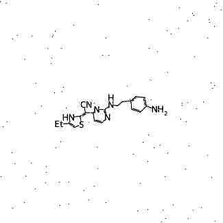 CCC1=CS/C(=C(/C#N)c2ccnc(NCCc3ccc(N)cc3)n2)N1